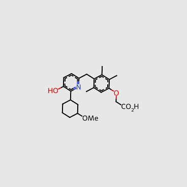 COC1CCCC(c2nc(Cc3c(C)cc(OCC(=O)O)c(C)c3C)ccc2O)C1